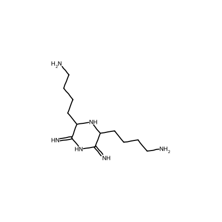 N=C1NC(=N)C(CCCCN)NC1CCCCN